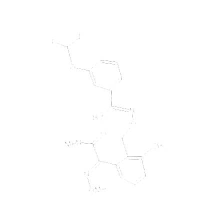 CNC(=O)/C(=N/OC)c1cccc(C)c1CO/N=C(\C)c1cccc(OC(F)F)c1